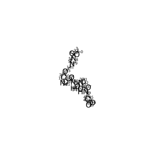 CC(C)(C)OC(=O)N1CCN(CCCOc2ccc3nccc(C(=O)NCC(=O)N4CCC[C@H]4C(O)C(=O)NCc4ccc5c(c4)OCO5)c3c2)CC1